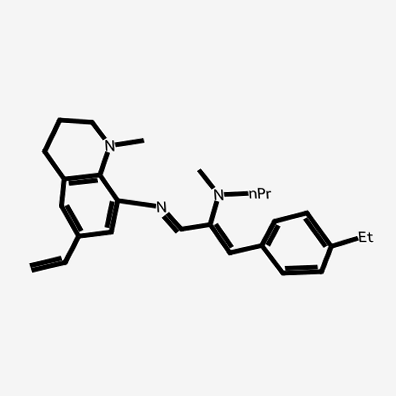 C=Cc1cc2c(c(/N=C/C(=C/c3ccc(CC)cc3)N(C)CCC)c1)N(C)CCC2